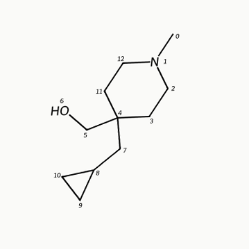 CN1CCC(CO)(CC2CC2)CC1